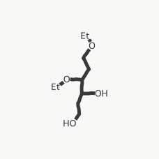 CCOCCC(OCC)C(O)CCO